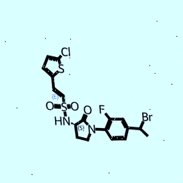 CC(Br)c1ccc(N2CC[C@H](NS(=O)(=O)/C=C/c3ccc(Cl)s3)C2=O)c(F)c1